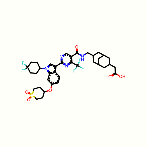 O=C(O)CC1CC2CC(CNC(=O)c3cnc(-c4cn(C5CCC(F)(F)CC5)c5cc(OC6CCS(=O)(=O)CC6)ccc45)nc3C(F)(F)F)CC(C1)C2